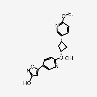 CCOc1ccc([C@H]2C[C@@H](Oc3ccc(-c4cc(O)no4)cn3)C2)cn1.Cl